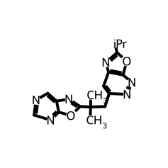 CC(C)c1nc2cc(CC(C)(C)c3nc4cncnc4o3)nnc2o1